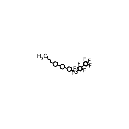 CCCCCC1CCC(C2CCC(C3CCC(C(F)(F)Oc4cc(F)c(-c5cc(F)c(F)c(F)c5)c(F)c4)CC3)CC2)CC1